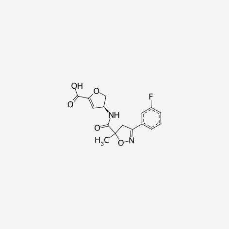 CC1(C(=O)N[C@H]2C=C(C(=O)O)OC2)CC(c2cccc(F)c2)=NO1